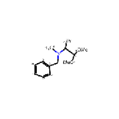 COC(OC)[C@H](C(C)C)N(C)Cc1ccccc1